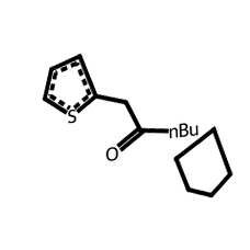 C1CCCC1.CCCCC(=O)Cc1cccs1